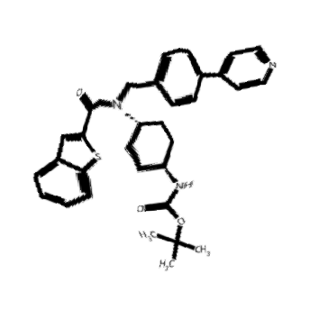 CC(C)(C)OC(=O)N[C@H]1CC[C@H](N(Cc2ccc(-c3ccncc3)cc2)C(=O)c2cc3ccccc3s2)CC1